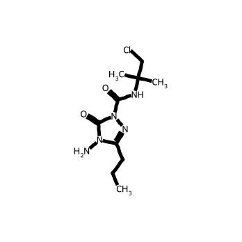 CCCc1nn(C(=O)NC(C)(C)CCl)c(=O)n1N